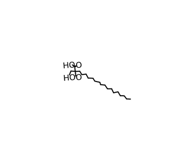 CCCCCCCCCCCCCCCCCC(CC)(C(=O)O)C(=O)O